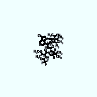 CO[C@H](C)[C@H](NC(=O)C(F)(F)F)C(=O)N1C[C@H]2[C@@H]([C@H]1C(=O)NC(C#N)c1cncc3c(Cl)cn(C#C[Si](C(C)C)(C(C)C)C(C)C)c13)C2(C)C